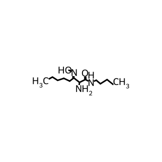 CCCCCNC(=O)C(N)C(CCCCC)=NO